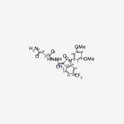 COc1cc(OC)cc(N2C(=O)/C(=C(/C)NNC(=O)CCC(N)=O)c3ccc(C(F)(F)F)cc32)c1